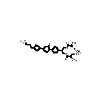 C=CCCc1ccc(-c2ccc(-c3ccc(C(COC(=O)C(=C)CO)COC(=O)C(=C)COC)cc3)c(F)c2)cc1